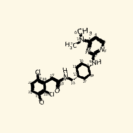 CN(C)c1ccnc(N[C@H]2CC[C@@H](CNC(=O)Cc3c(Cl)ccc(Cl)c3Cl)CC2)n1